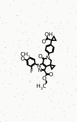 CCOC(=O)c1nn(-c2ccc(OC)cc2F)c2c1C1(CC1)CN(c1ccc(C3(C(=O)O)CC3)cc1)C2=O